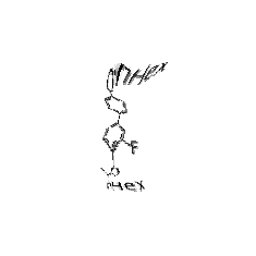 CCCCCCOc1ccc(-c2ccc(O[C@@H](C)CCCCCC)c(F)c2)cc1